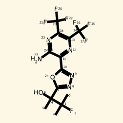 CC(C)(F)C(C)(O)c1nnc(-c2nc(C(F)(F)F)c(C(F)(F)F)nc2N)o1